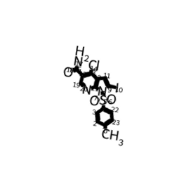 Cc1ccc(S(=O)(=O)n2c(I)cc3c(Cl)c(C(N)=O)cnc32)cc1